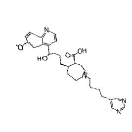 COc1ccc2nccc([C@H](O)CC[C@@H]3CCN(CCCCc4cncnc4)C[C@@H]3C(=O)O)c2c1